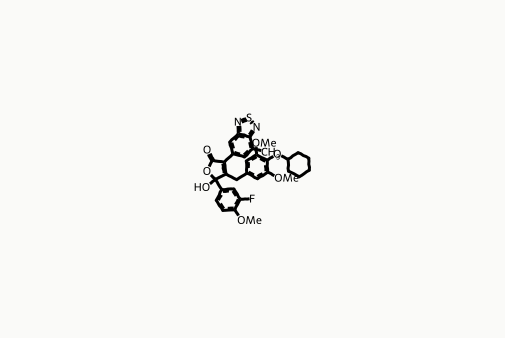 COc1ccc(C2(O)OC(=O)C(c3cc(C)c4nsnc4c3)=C2Cc2cc(OC)c(OC3CCCCC3)c(OC)c2)cc1F